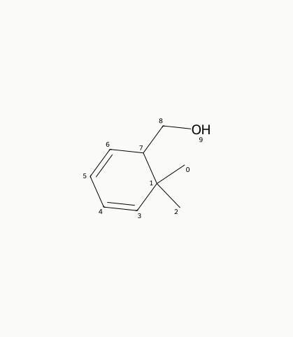 CC1(C)C=CC=CC1CO